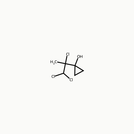 CC(Cl)(C(Cl)Cl)C1(O)CC1